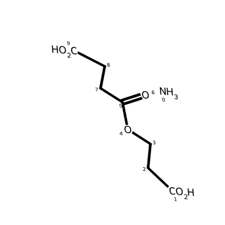 N.O=C(O)CCOC(=O)CCC(=O)O